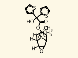 C[C@]1(OC(=O)C(O)(c2cccs2)c2cccs2)CC2C3O[C@@H]3[C@H](C1)[N+]2(C)C